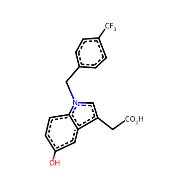 O=C(O)Cc1cn(Cc2ccc(C(F)(F)F)cc2)c2ccc(O)cc12